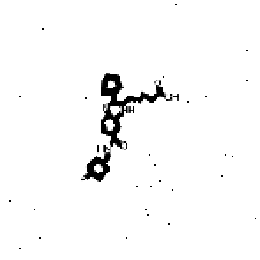 O=C(O)CCCCC1=C(c2ccccc2)N=C2C=CC(C(=O)NCc3ccc(F)cc3)=CC2N1